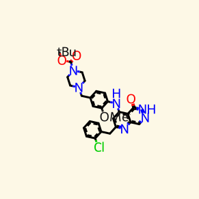 COc1cc(CN2CCN(C(=O)OC(C)(C)C)CC2)ccc1Nc1cc(Cc2ccccc2Cl)nc2cn[nH]c(=O)c12